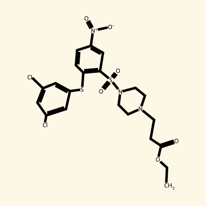 CCOC(=O)CCN1CCN(S(=O)(=O)c2cc([N+](=O)[O-])ccc2Sc2cc(Cl)cc(Cl)c2)CC1